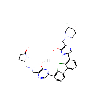 COc1nc(-c2cccc(-c3cccc(-c4cnc(CN5CC[C@H](O)[C@H](F)C5)c(OC)n4)c3Cl)c2Cl)cnc1CNC[C@@H]1CCC(=O)N1